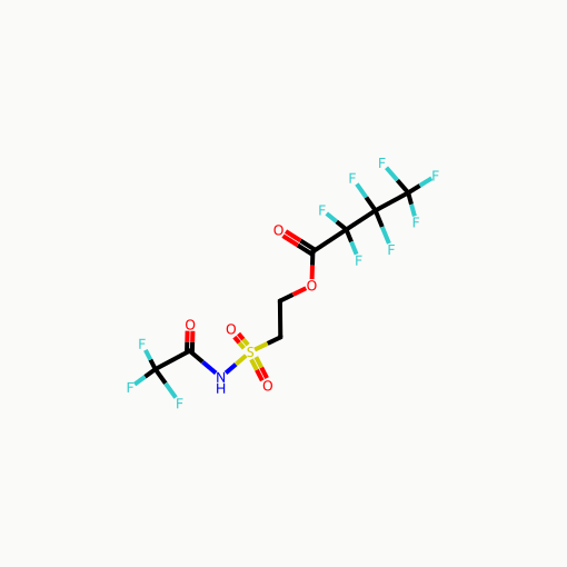 O=C(NS(=O)(=O)CCOC(=O)C(F)(F)C(F)(F)C(F)(F)F)C(F)(F)F